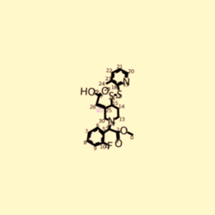 COC(=O)C(c1ccccc1F)N1CCC(SSc2ncccc2C)/C(=C\C(=O)O)C1